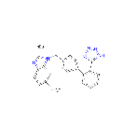 CCCCc1nc2ccc(C(=O)OCC)cc2n1Cc1ccc(-c2ccccc2-c2nnn[nH]2)cc1